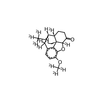 [2H]C([2H])([2H])Oc1ccc2c3c1OC1([2H])C(=O)CC[C@@]4([2H])[C@H](N(C([2H])([2H])[2H])CC[C@]314)C2([2H])[2H]